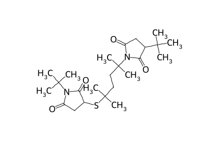 CC(C)(CCC(C)(C)N1C(=O)CC(C(C)(C)C)C1=O)SC1CC(=O)N(C(C)(C)C)C1=O